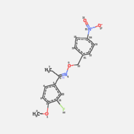 COc1ccc(/C(C)=N/OCc2ccc([N+](=O)[O-])cc2)cc1F